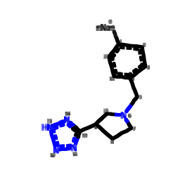 CCCCCCCCCc1ccc(CN2CCC(c3nn[nH]n3)C2)cc1